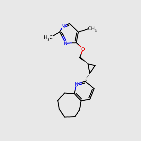 Cc1ncc(C)c(OC[C@H]2C[C@@H]2c2ccc3c(n2)CCCCCC3)n1